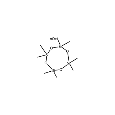 CCCCCCCC[Si]1(C)O[Si](C)(C)O[Si](C)(C)O[Si](C)(C)O1